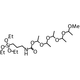 CCO[Si](CCCNC(=O)OC(C)OC(C)OC(C)OC(C)OC(C)OC)(OCC)OCC